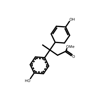 COC(=O)CC(C)(c1ccc(O)cc1)C1C=CC(O)=CC1